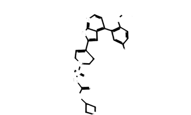 COc1ccc(F)cc1-c1ccnc2[nH]c(C3=CCN(S(=O)(=O)NC(=O)OC4CNC4)CC3)cc12